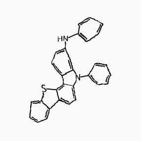 c1ccc(Nc2ccc3c4c5sc6ccccc6c5ccc4n(-c4ccccc4)c3c2)cc1